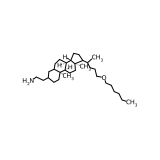 CCCCCCOCCCC(C)C1CC[C@H]2[C@@H]3CCC4CC(CCN)CC[C@]4(C)[C@@H]3CC[C@]12C